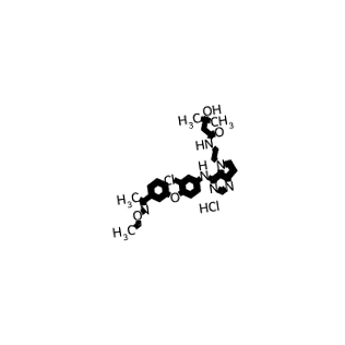 CCON=C(C)c1cccc(Oc2ccc(Nc3ncnc4ccn(CCNC(=O)CC(C)(C)O)c34)cc2Cl)c1.Cl